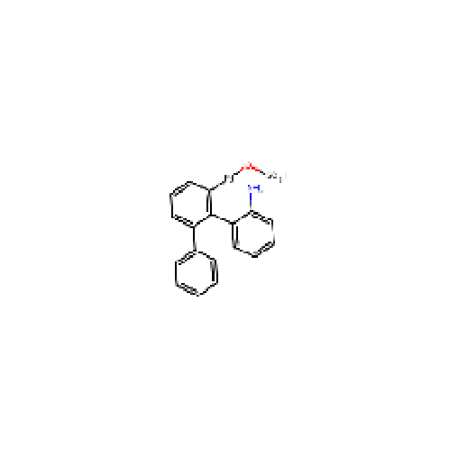 Nc1ccccc1-c1[c]([Pd][O]S(=O)(=O)O)cccc1-c1ccccc1